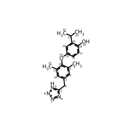 Cc1cc(Cc2nnn[nH]2)cc(C)c1Oc1ccc(O)c(C(C)C)c1